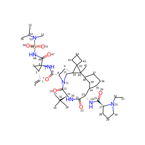 C=C[C@@H]1C[C@]1(NC(=O)[C@@H]1C[C@@]23CN1C(=O)[C@H](C(C)(C)C)NC(=O)[C@@H](NC(=O)[C@@H]1CCCN1CC)C1CCCC(C1)C2(C)C31CCC1)C(=O)NS(=O)(=O)N(C)C(C)C